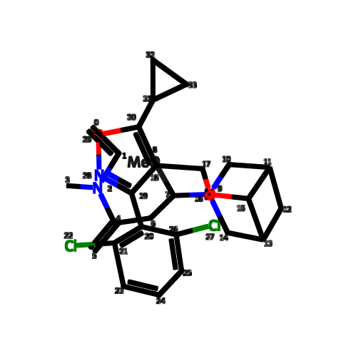 C=CN(C)C(=C)CC(OC)N1CC2CC(C1)C2OCc1c(-c2c(Cl)cccc2Cl)noc1C1CC1